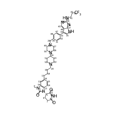 Cn1c(=O)n([C@H]2CCC(=O)NC2=O)c2ccc(CCCCN3CCC(N4CCN(Cc5ccc(-c6c[nH]c7nc(NCCC(F)(F)F)ncc67)cc5)CC4)CC3)cc21